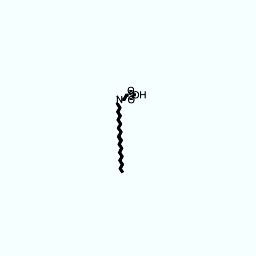 CCCCCCCCC=CCCCCCCCCN(C)CCS(=O)(=O)O